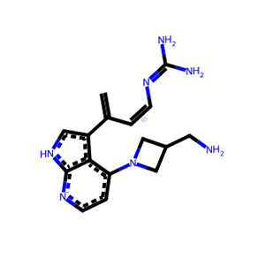 C=C(/C=C\N=C(N)N)c1c[nH]c2nccc(N3CC(CN)C3)c12